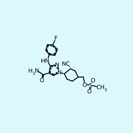 CS(=O)(=O)OCC1CC[C@@H](n2cc(C(N)=O)c(Nc3ccc(F)cc3)n2)[C@H](C#N)C1